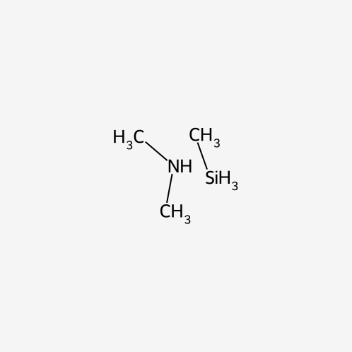 CNC.C[SiH3]